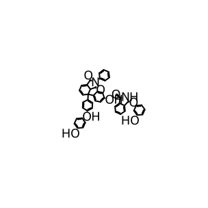 O=C1C2=CC=CC(c3ccc(O)cc3)(c3ccc(O)cc3)C2C(=O)N1c1ccccc1.O=C1NC(=O)c2ccccc21.Oc1ccccc1.Oc1ccccc1